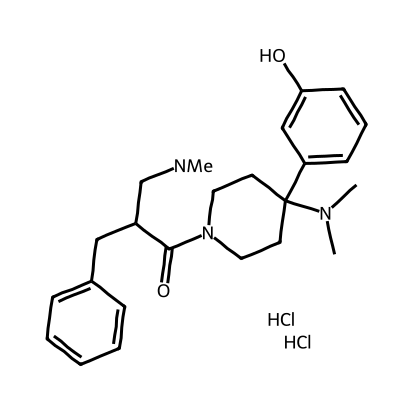 CNCC(Cc1ccccc1)C(=O)N1CCC(c2cccc(O)c2)(N(C)C)CC1.Cl.Cl